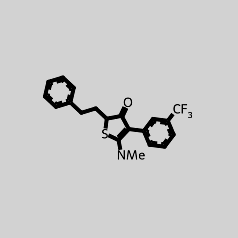 CNC1=C(c2cccc(C(F)(F)F)c2)C(=O)C(CCc2ccccc2)S1